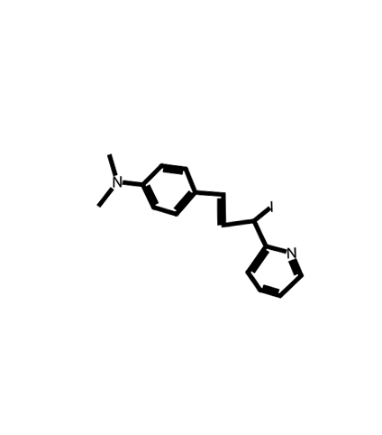 CN(C)c1ccc(/C=C/C(I)c2ccccn2)cc1